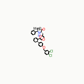 CC[C@H](N[C@@H](CC1=COC=C(C2=CC=CC[C@@H]2c2ccc(OCc3ccc(Cl)c(Cl)c3)cc2)O1)C(=O)OC)c1ccccc1